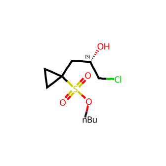 CCCCOS(=O)(=O)C1(C[C@H](O)CCl)CC1